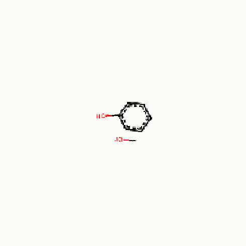 Oc1ccccc1.[CH2]O